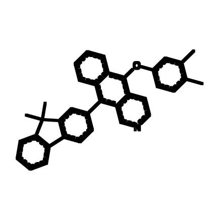 Cc1ccc(Oc2c3ccccc3c(-c3ccc4c(c3)C(C)(C)c3ccccc3-4)c3cnccc23)cc1C